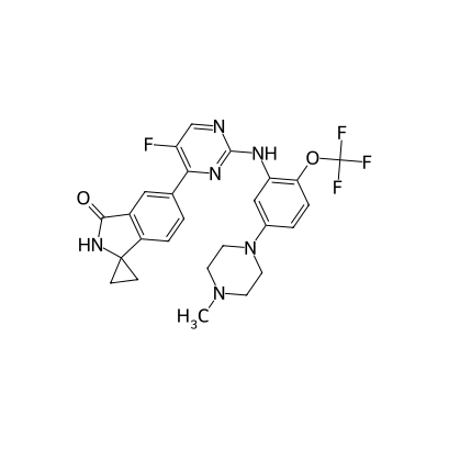 CN1CCN(c2ccc(OC(F)(F)F)c(Nc3ncc(F)c(-c4ccc5c(c4)C(=O)NC54CC4)n3)c2)CC1